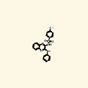 Cc1ccc(S(=O)(=O)Nc2nc3ccccc3nc2Nc2ccccc2)cc1